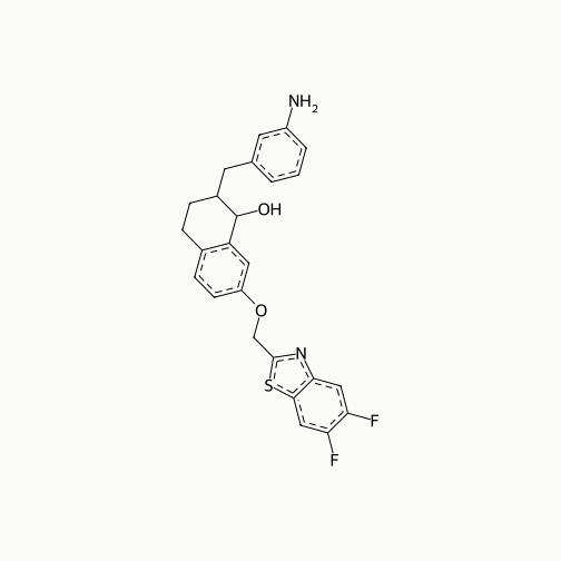 Nc1cccc(CC2CCc3ccc(OCc4nc5cc(F)c(F)cc5s4)cc3C2O)c1